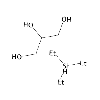 CC[SiH](CC)CC.OCC(O)CO